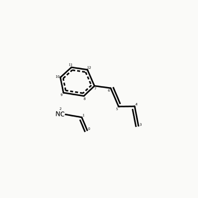 C=CC#N.C=CC=Cc1ccccc1